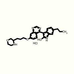 CCCc1ccc2c(-c3ncnc4cc(OCCCC5COCCN5)ccc34)c(O)[nH]c2c1.Cl